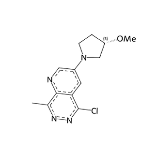 CO[C@H]1CCN(c2cnc3c(C)nnc(Cl)c3c2)C1